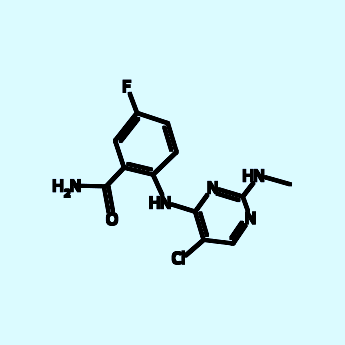 CNc1ncc(Cl)c(Nc2ccc(F)cc2C(N)=O)n1